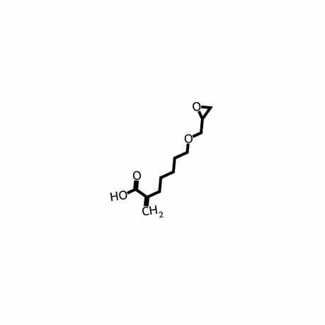 C=C(CCCCCOCC1CO1)C(=O)O